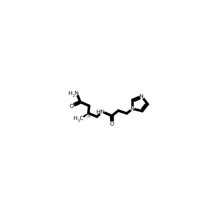 C[C@H]([CH]NC(=O)CCn1ccnc1)CC(N)=O